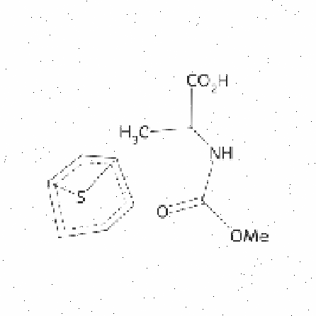 COC(=O)NC(C)C(=O)O.c1cc2cc(c1)S2